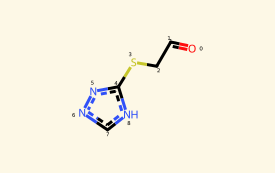 O=[C]CSc1nnc[nH]1